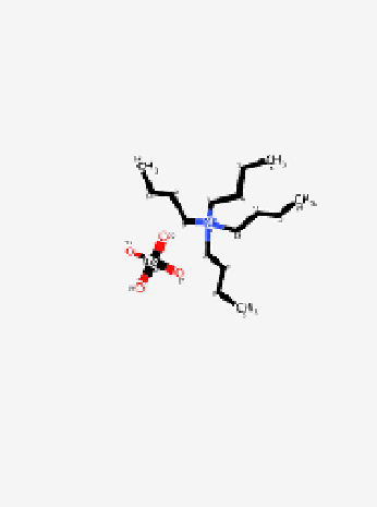 CCCC[N+](CCCC)(CCCC)CCCC.[O]=[Re](=[O])(=[O])[O-]